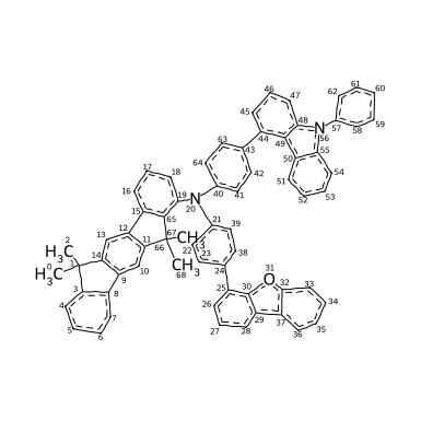 CC1(C)c2ccccc2-c2cc3c(cc21)-c1cccc(N(c2ccc(-c4cccc5c4oc4ccccc45)cc2)c2ccc(-c4cccc5c4c4ccccc4n5-c4ccccc4)cc2)c1C3(C)C